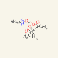 C=C(C)C(=O)OCC(COC(=O)C(=C)C)OCNCCCCCC